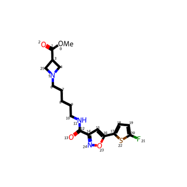 COC(=O)C1CN(CCCCCNC(=O)c2cc(-c3ccc(F)s3)on2)C1